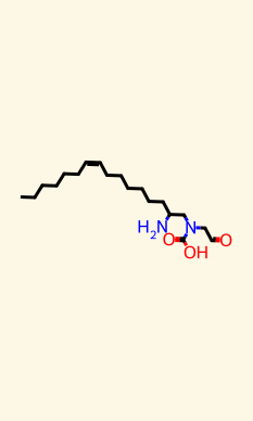 CCCCCC/C=C\CCCCCCC(N)CN(CC=O)C(=O)O